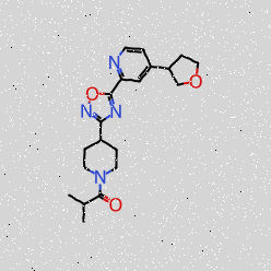 CC(C)C(=O)N1CCC(c2noc(-c3cc(C4CCOC4)ccn3)n2)CC1